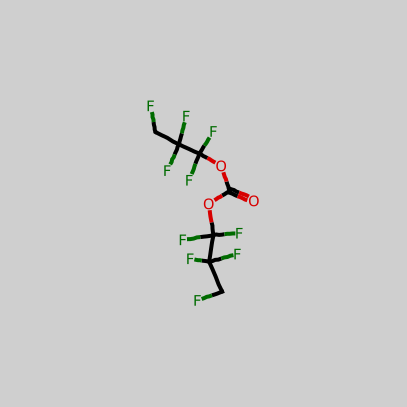 O=C(OC(F)(F)C(F)(F)CF)OC(F)(F)C(F)(F)CF